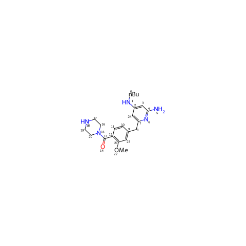 CCCCNc1cc(N)nc(Cc2ccc(C(=O)N3CCNCC3)c(OC)c2)c1